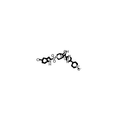 O=C(c1cnc(-c2cc[n+]([O-])cc2)cn1)N1C2CN(S(=O)(=O)c3cc4cc(Cl)ccc4[nH]3)CC1C(O)C2O